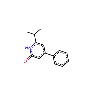 CC(C)c1cc(-c2ccccc2)cc(=O)[nH]1